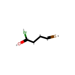 O=C(Br)CCC=S